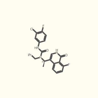 CC(C)CN(C(=O)Nc1ccc(F)c(Cl)c1)[C@H](C)c1c[nH]c(=O)c2c(F)cccc12